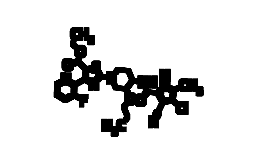 CCCO[C@H]1CN(c2nc(-c3ncccc3F)c(C(=O)OCC)s2)CC[C@H]1NC(=O)c1[nH]c(C)c(Cl)c1C#N